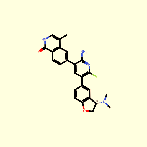 Cc1c[nH]c(=O)c2ccc(-c3cc(-c4ccc5c(c4)[C@H](N(C)C)CO5)c(F)nc3N)cc12